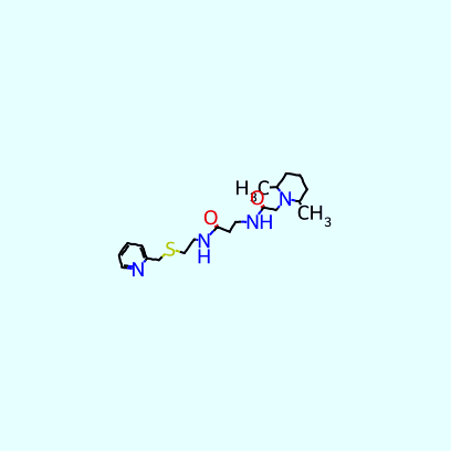 CC1CCCC(C)N1CC(=O)NCCC(=O)NCCSCc1ccccn1